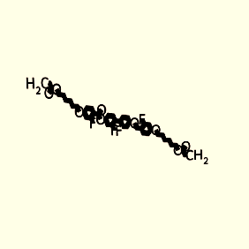 C=CC(=O)OCCCCCCOc1ccc(COc2ccc(-c3ccc(OC(=O)c4ccc(OCCCCCCOC(=O)C=C)cc4F)cc3F)c(F)c2)c(F)c1